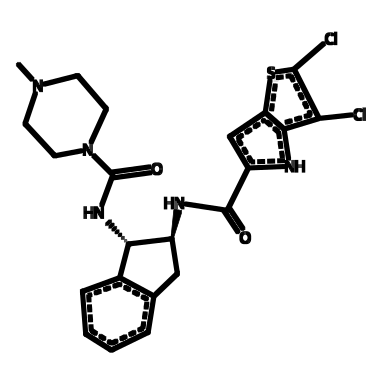 CN1CCN(C(=O)N[C@H]2c3ccccc3C[C@@H]2NC(=O)c2cc3sc(Cl)c(Cl)c3[nH]2)CC1